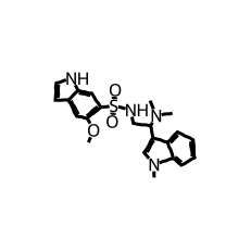 COc1cc2cc[nH]c2cc1S(=O)(=O)NCC(c1cn(C)c2ccccc12)N(C)C